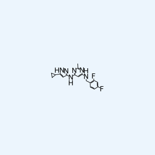 Cc1nc(NCc2ccc(F)cc2F)cc(Nc2cc(C3CC3)[nH]n2)n1